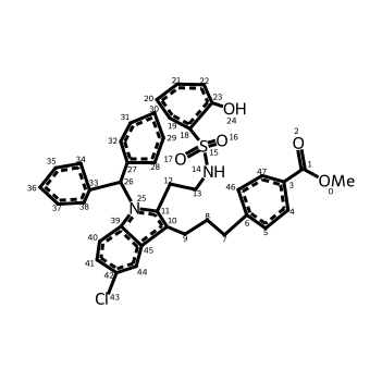 COC(=O)c1ccc(CCCc2c(CCNS(=O)(=O)c3ccccc3O)n(C(c3ccccc3)c3ccccc3)c3ccc(Cl)cc23)cc1